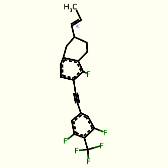 C/C=C/C1CCc2c(ccc(C#Cc3cc(F)c(C(F)(F)F)c(F)c3)c2F)C1